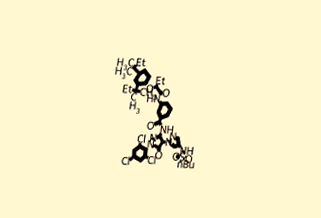 CCCCS(=O)(=O)Nc1cnn(C2C(=O)N(c3c(Cl)cc(Cl)cc3Cl)N=C2NC(=O)c2cccc(NC(=O)C(CC)Oc3ccc(C(C)(C)CC)cc3C(C)(C)CC)c2)c1